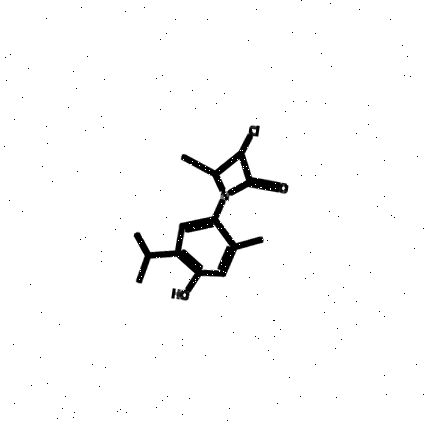 Cc1cc(O)c(C(C)C)cc1N1C(=O)C(Cl)C1C